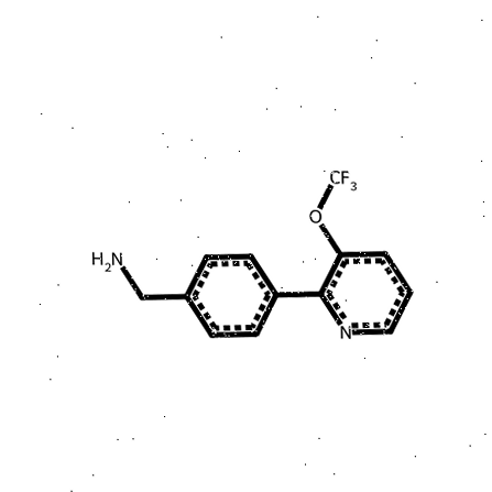 NCc1ccc(-c2ncccc2OC(F)(F)F)cc1